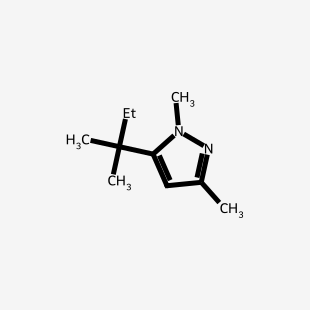 CCC(C)(C)c1cc(C)nn1C